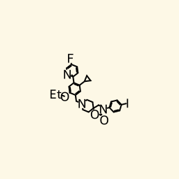 CCOc1cc(-c2ccc(F)cn2)c(C2CC2)cc1CN1CCC2(CC1)CN(c1ccc(I)cc1)C(=O)O2